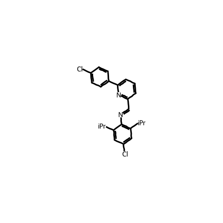 CC(C)c1cc(Cl)cc(C(C)C)c1N=Cc1cccc(-c2ccc(Cl)cc2)n1